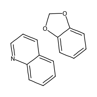 c1ccc2c(c1)OCO2.c1ccc2ncccc2c1